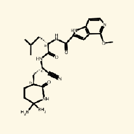 BC1(B)CC[C@@H](C[C@@H](C#N)NC(=O)[C@H](CC(C)C)NC(=O)c2cc3c(OC)nccc3[nH]2)C(=O)N1